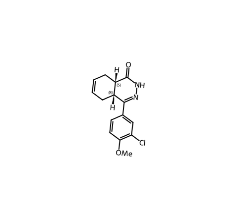 COc1ccc(C2=NNC(=O)[C@H]3CC=CC[C@@H]23)cc1Cl